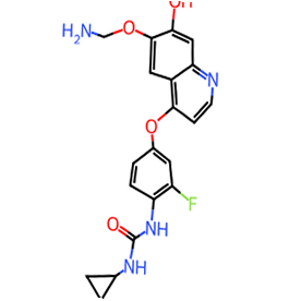 NCOc1cc2c(Oc3ccc(NC(=O)NC4CC4)c(F)c3)ccnc2cc1O